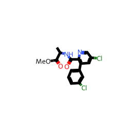 COC(=O)C(C)NC(=O)c1ncc(Cl)cc1-c1cccc(Cl)c1